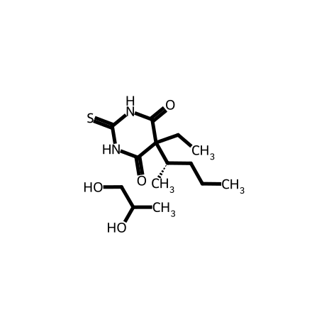 CC(O)CO.CCC[C@H](C)C1(CC)C(=O)NC(=S)NC1=O